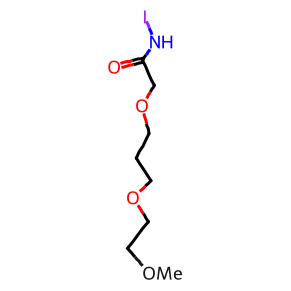 COCCOCCCOCC(=O)NI